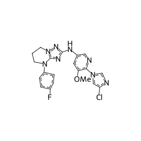 COc1cc(Nc2nc3n(n2)CCCN3c2ccc(F)cc2)cnc1-n1cnc(Cl)c1